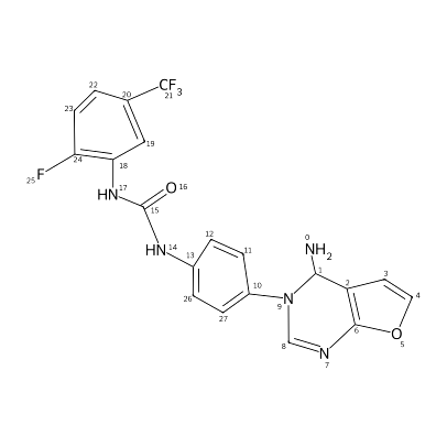 NC1c2ccoc2N=CN1c1ccc(NC(=O)Nc2cc(C(F)(F)F)ccc2F)cc1